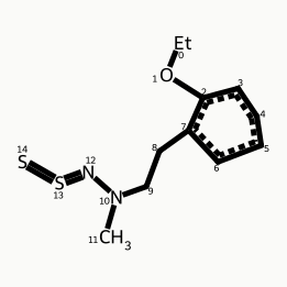 CCOc1ccccc1CCN(C)N=S=S